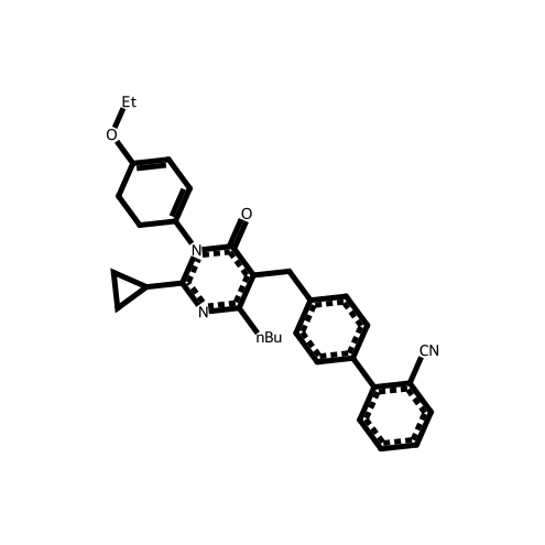 CCCCc1nc(C2CC2)n(C2=CC=C(OCC)CC2)c(=O)c1Cc1ccc(-c2ccccc2C#N)cc1